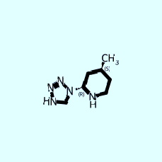 C[C@H]1CCN[C@H](N2CNN=N2)C1